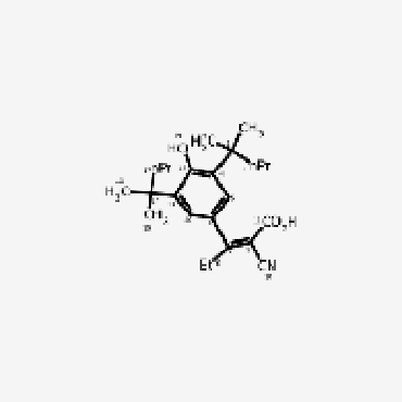 CCCC(C)(C)c1cc(C(CC)=C(C#N)C(=O)O)cc(C(C)(C)CCC)c1O